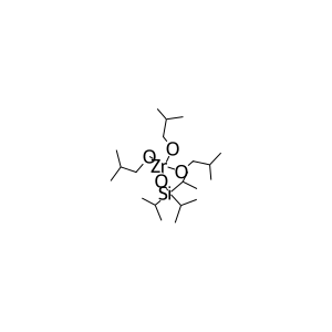 CC(C)C[O][Zr]([O]CC(C)C)([O]CC(C)C)[O][Si](C(C)C)(C(C)C)C(C)C